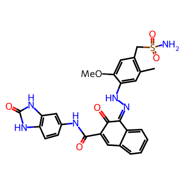 COc1cc(CS(N)(=O)=O)c(C)cc1N/N=C1\C(=O)C(C(=O)Nc2ccc3[nH]c(=O)[nH]c3c2)=Cc2ccccc21